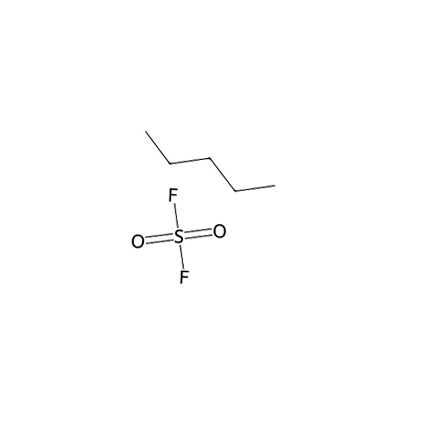 CCCCC.O=S(=O)(F)F